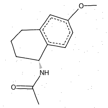 COc1ccc2c(c1)CCC[C@H]2NC(C)=O